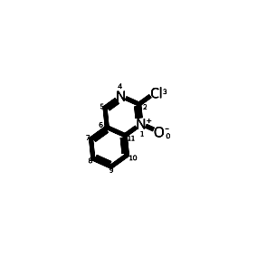 [O-][n+]1c(Cl)ncc2ccccc21